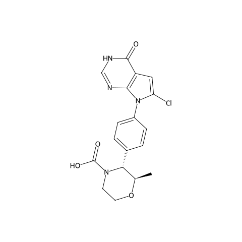 C[C@H]1OCCN(C(=O)O)[C@@H]1c1ccc(-n2c(Cl)cc3c(=O)[nH]cnc32)cc1